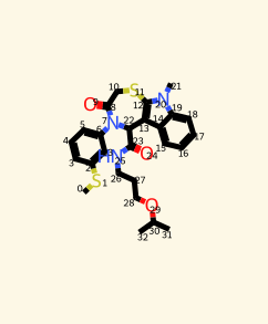 CSc1cccc(N2C(=O)CSc3c(c4ccccc4n3C)C2C(=O)NCCCOC(C)C)c1